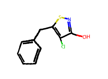 Oc1nsc(Cc2ccccc2)c1Cl